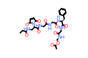 CCC(=O)NCC(C(=O)NCC(=O)NCC(=O)N[C@@H](Cc1ccccc1)C(=O)NCC(=O)NCOC(C)=O)N1C(=O)C=CC1=O